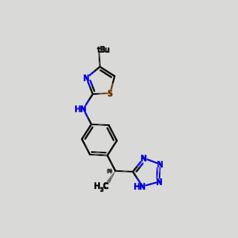 C[C@H](c1ccc(Nc2nc(C(C)(C)C)cs2)cc1)c1nnn[nH]1